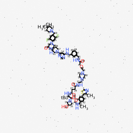 Cc1ncsc1-c1ccc([C@H](C)NC(=O)[C@@H]2C[C@@H](O)CN2C(=O)[C@@H](NC(=O)CCC(=O)NCCN2CCN(CCOCC(=O)NCc3cccc(CNc4cc(N5CCC6(CC5)CN(c5cc(F)c(CN7CCC(C)(C)CC7)cc5F)CC(=O)N6)ncn4)c3)CC2)C(C)(C)C)cc1